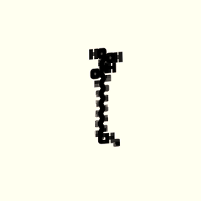 CCCCCCCCCCCCCC(=O)NCC(O)O